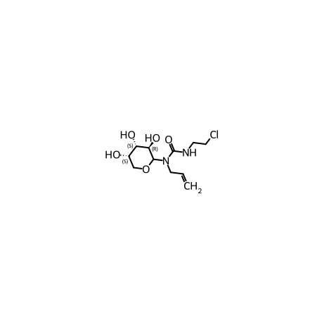 C=CCN(C(=O)NCCCl)C1OC[C@H](O)[C@H](O)[C@H]1O